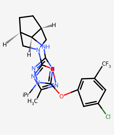 Cc1noc(N2C[C@H]3CC[C@@H](C2)[C@H]3Nc2nc(Oc3cc(Cl)cc(C(F)(F)F)c3)n(C(C)C)n2)n1